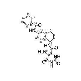 Nc1c(C(=O)NC2CCCc3cc(NC(=O)c4ccccc4)ccc32)[nH]c(=O)[nH]c1=O